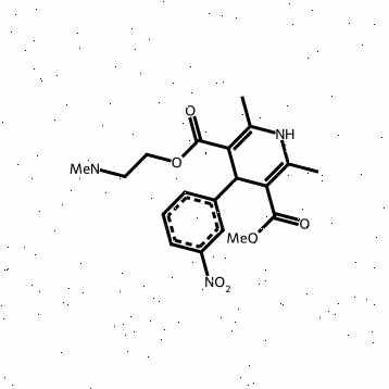 CNCCOC(=O)C1=C(C)NC(C)=C(C(=O)OC)C1c1cccc([N+](=O)[O-])c1